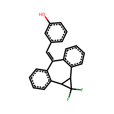 Oc1cccc(C=C2c3ccccc3C3C(c4ccccc42)C3(F)F)c1